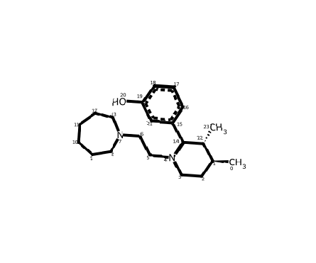 C[C@H]1CCN(CCN2CCCCCC2)C(c2cccc(O)c2)[C@@H]1C